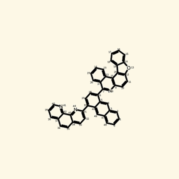 c1ccc2cc3c(-c4nc5ccc6oc7ccccc7c6c5c5ccccc45)ccc(-c4ccc5ccc6cccnc6c5n4)c3cc2c1